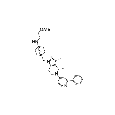 COCCNC12CCC(Cn3nc(C)c4c3CCN(c3ccnc(-c5ccccc5)c3)C4C)(CC1)CC2